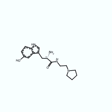 N[C@@H](Cc1c[nH]c2ccc(O)cc12)C(=O)NCCN1CCCC1